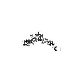 Nc1ncnc2c1c(-c1ccc3[nH]c(Cc4ccccc4)cc3c1)nn2[C@H]1CC[C@@H](N2CCN(CCCO)CC2)CC1